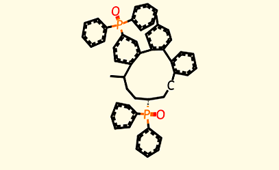 Cc1ccc2c(c1)-c1cc(P(=O)(c3ccccc3)c3ccccc3)ccc1C(C)CC[C@@H](P(=O)(c1ccccc1)c1ccccc1)CCc1ccccc1-2